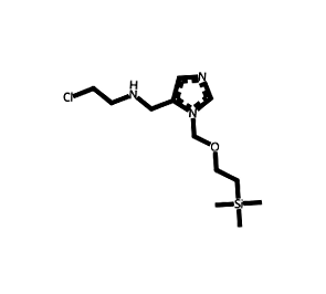 C[Si](C)(C)CCOCn1cncc1CNCCCl